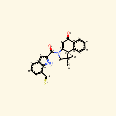 O=C1C=C2N(C(=O)c3cc4cccc(C=S)c4[nH]3)C[C@H]3C[C@@]23c2ccccc21